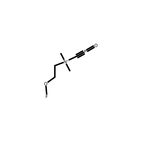 C[N+](C)(C#P=O)CCOF